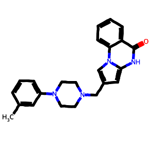 Cc1cccc(N2CCN(Cc3cc4[nH]c(=O)c5ccccc5n4c3)CC2)c1